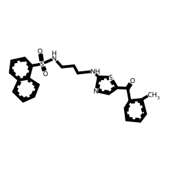 Cc1ccccc1C(=O)c1cnc(NCCCNS(=O)(=O)c2cccc3ccccc23)s1